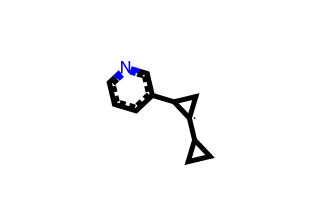 c1cncc(C2C[C]2C2CC2)c1